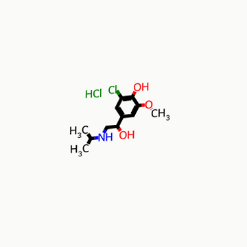 COc1cc(C(O)CNC(C)C)cc(Cl)c1O.Cl